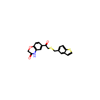 O=C1COc2ccc(C(=O)CSCc3ccc4sccc4c3)cc2N1